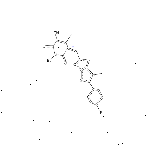 CCN1C(=O)C(C#N)=C(C)/C(=C/c2cc3c(nc(-c4ccc(F)cc4)n3C)o2)C1=O